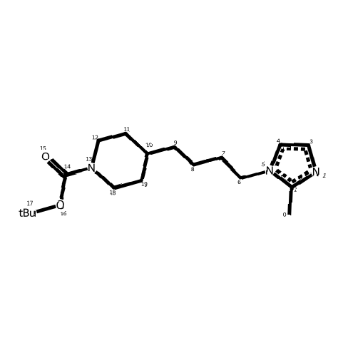 Cc1nccn1CCCCC1CCN(C(=O)OC(C)(C)C)CC1